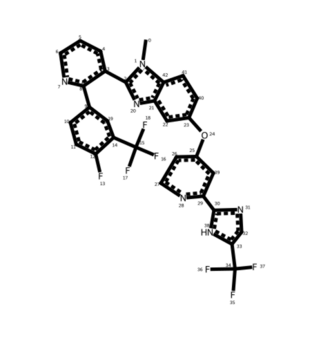 Cn1c(-c2cccnc2-c2ccc(F)c(C(F)(F)F)c2)nc2cc(Oc3ccnc(-c4ncc(C(F)(F)F)[nH]4)c3)ccc21